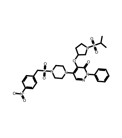 CC(C)S(=O)(=O)N1CCC(Oc2c(N3CCN(S(=O)(=O)Cc4ccc([N+](=O)[O-])cc4)CC3)cnn(-c3ccccc3)c2=O)C1